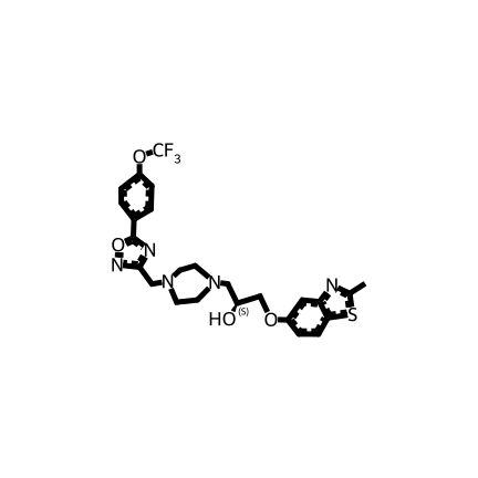 Cc1nc2cc(OC[C@@H](O)CN3CCN(Cc4noc(-c5ccc(OC(F)(F)F)cc5)n4)CC3)ccc2s1